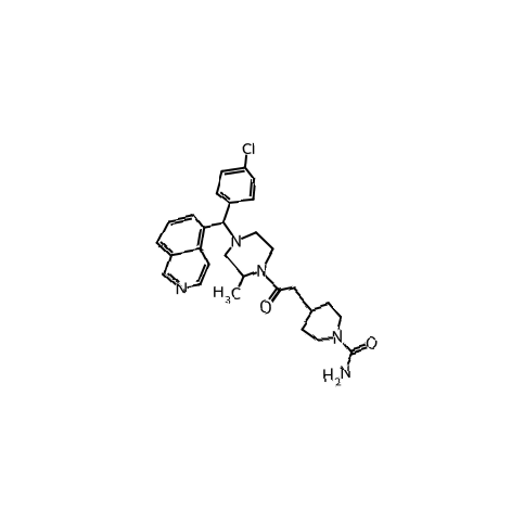 CC1CN(C(c2ccc(Cl)cc2)c2cccc3cnccc23)CCN1C(=O)CC1CCN(C(N)=O)CC1